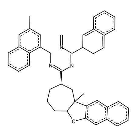 C=N/C(=N\C(=N/Cc1cc(C)cc2ccccc12)[C@@H]1CCCC2Oc3cc4ccccc4cc3C2(C)C1)C1C=c2ccccc2=CC1